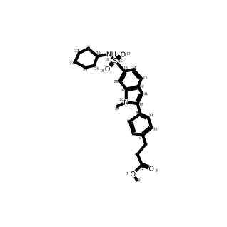 COC(=O)CCc1ccc(-c2cc3ccc(S(=O)(=O)NC4CCCCC4)cc3n2C)cc1